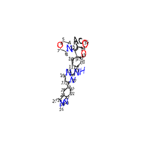 CC(=O)c1c(N2CCOCC2)c2ccc(Nc3nccc(-c4ccc5nn(C)c(C)c5c4)n3)cc2oc1=O